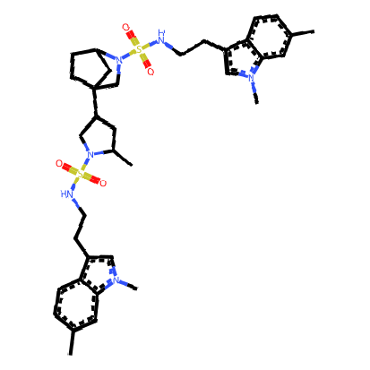 Cc1ccc2c(CCNS(=O)(=O)N3CC(C45CCC(C4)N(S(=O)(=O)NCCc4cn(C)c6cc(C)ccc46)C5)CC3C)cn(C)c2c1